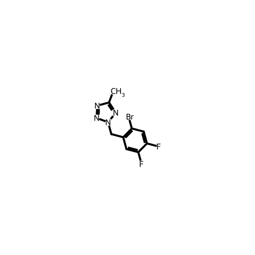 Cc1nnn(Cc2cc(F)c(F)cc2Br)n1